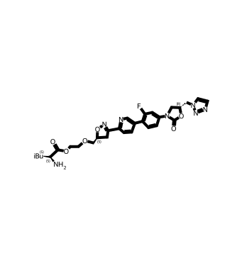 CC[C@H](C)[C@H](N)C(=O)OCCOC[C@@H]1CC(c2ccc(-c3ccc(N4C[C@H](Cn5ccnn5)OC4=O)cc3F)cn2)=NO1